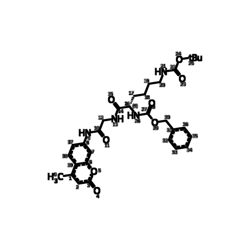 Cc1cc(=O)oc2cc(NC(=O)CNC(=O)[C@H](CCCCNC(=O)OC(C)(C)C)NC(=O)OCc3ccccc3)ccc12